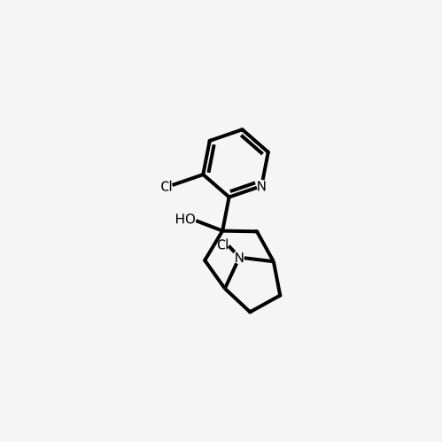 OC1(c2ncccc2Cl)CC2CCC(C1)N2Cl